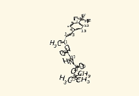 C[C@@H](/C=C/c1ccc(C(F)(F)F)cc1)OC(=O)CNC(=O)OC(C)(C)C